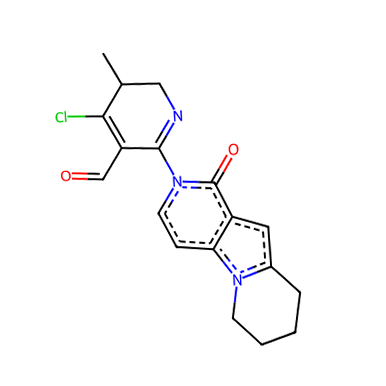 CC1CN=C(n2ccc3c(cc4n3CCCC4)c2=O)C(C=O)=C1Cl